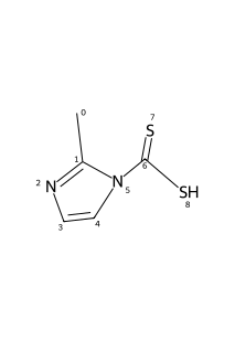 Cc1nccn1C(=S)S